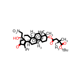 CC(C)C1=C2[C@H]3CC[C@@]4(C)[C@@](C)(CC[C@H]5C(C)(C)[C@@H](OC(=O)CC(C)(C)C(=O)OC(C)(C)C)CC[C@@]54C)[C@]3(C)CC[C@@]2([C@@H](O)C[N+](=O)[O-])CC1=O